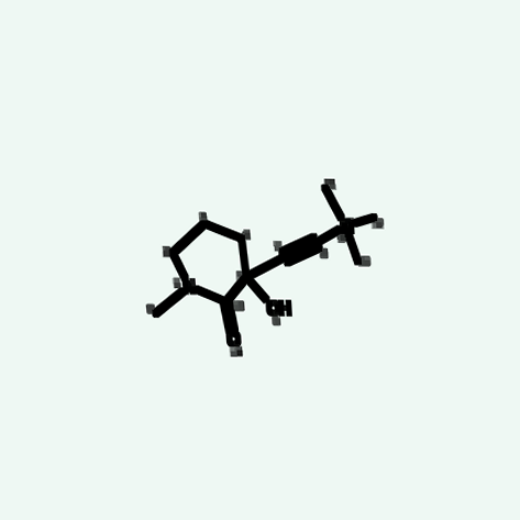 CN1CCCC(O)(C#C[Si](C)(C)C)C1=O